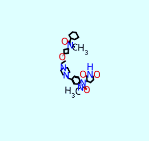 Cn1c(=O)n(C2CCC(=O)NC2=O)c2ccc(CN3CCN(CCO[C@H]4C[C@H](N(C)C(=O)C5CCCCC5)C4)CC3)cc21